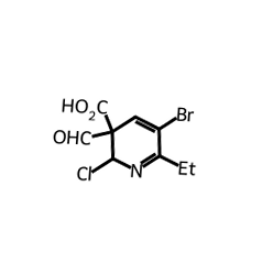 CCC1=NC(Cl)C(C=O)(C(=O)O)C=C1Br